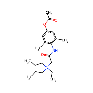 CCC[N+](CC)(CCC)CC(=O)Nc1c(C)cc(OC(C)=O)cc1C